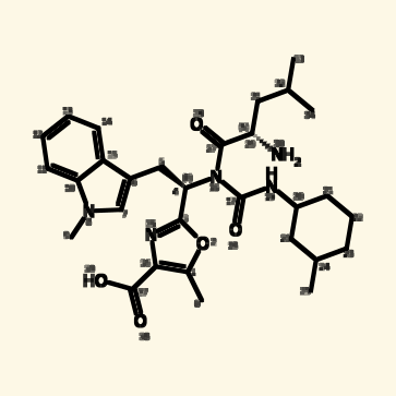 Cc1oc([C@@H](Cc2cn(C)c3ccccc23)N(C(=O)NC2CCCC(C)C2)C(=O)[C@@H](N)CC(C)C)nc1C(=O)O